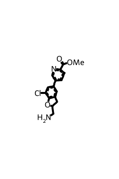 COC(=O)c1ccc(-c2cc(Cl)c3c(c2)CC(CN)O3)cn1